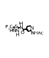 CC(=O)Nc1cc(C(=O)NC2NNC(C(F)(F)F)S2)ccn1